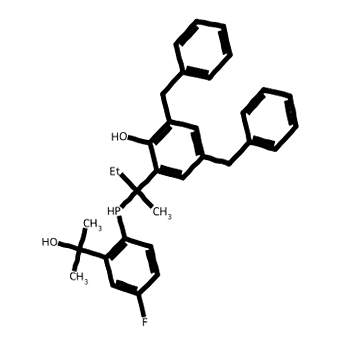 CCC(C)(Pc1ccc(F)cc1C(C)(C)O)c1cc(Cc2ccccc2)cc(Cc2ccccc2)c1O